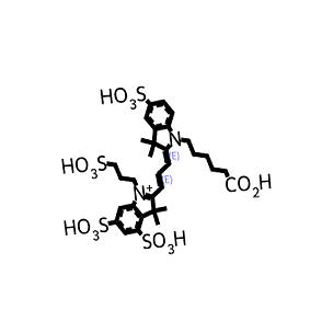 CC1(C)C(/C=C/C=C2/N(CCCCCC(=O)O)c3ccc(S(=O)(=O)O)cc3C2(C)C)=[N+](CCCS(=O)(=O)O)c2cc(S(=O)(=O)O)cc(S(=O)(=O)O)c21